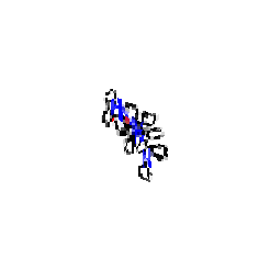 c1ccc(-n2c3ccccc3c3cc(N4[Si](c5ccccc5)(c5ccccc5)N(c5cccc(-n6c7ccccc7c7ccccc76)n5)[Si]4(c4ccccc4)c4ccccc4)ccc32)cc1